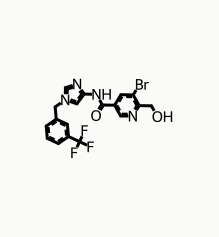 O=C(Nc1cn(Cc2cccc(C(F)(F)F)c2)cn1)c1cnc(CO)c(Br)c1